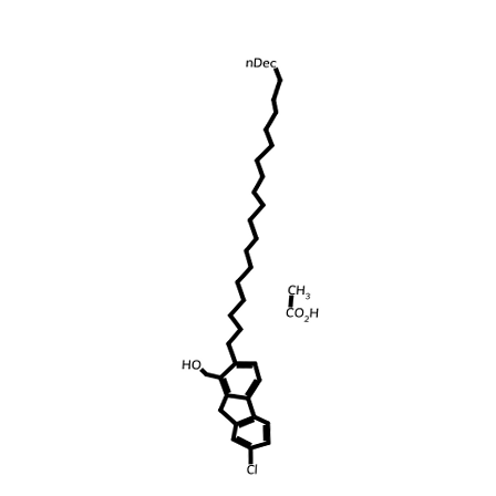 CC(=O)O.CCCCCCCCCCCCCCCCCCCCCCCCCCCCc1ccc2c(c1CO)Cc1cc(Cl)ccc1-2